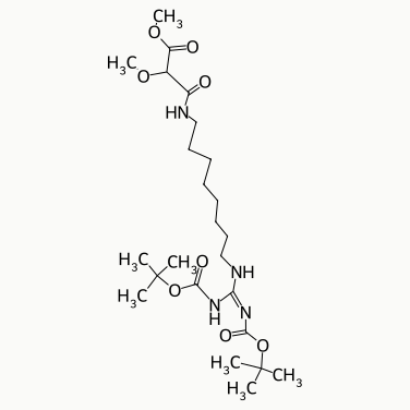 COC(=O)C(OC)C(=O)NCCCCCCCCN/C(=N/C(=O)OC(C)(C)C)NC(=O)OC(C)(C)C